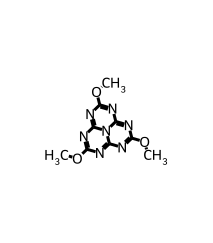 COC1=NC2=NC(OC)=NC3=NC(OC)=NC(=N1)N23